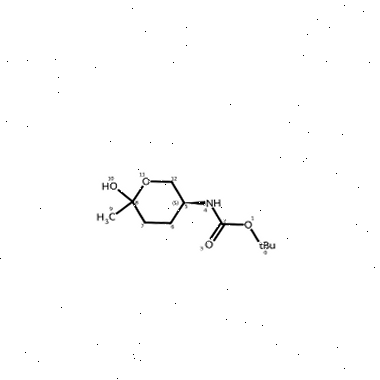 CC(C)(C)OC(=O)N[C@H]1CCC(C)(O)OC1